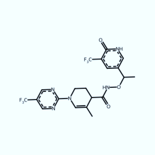 CC1=CN(c2ncc(C(F)(F)F)cn2)CCC1C(=O)NOC(C)c1c[nH]c(=O)c(C(F)(F)F)c1